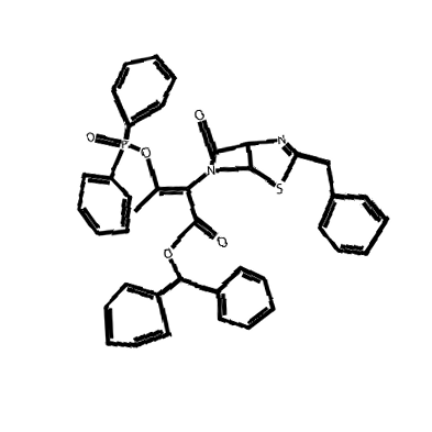 CC(OP(=O)(c1ccccc1)c1ccccc1)=C(C(=O)OC(c1ccccc1)c1ccccc1)N1C(=O)C2N=C(Cc3ccccc3)SC21